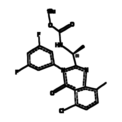 Cc1ccc(Cl)c2c(=O)n(-c3cc(F)cc(F)c3)c([C@H](C)NC(=O)OC(C)(C)C)nc12